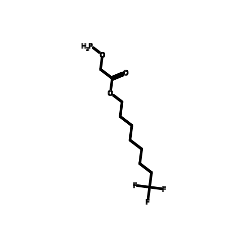 O=C(COP)OCCCCCCCC(F)(F)F